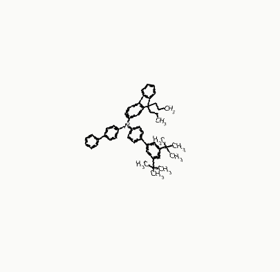 CCCC1(CCC)c2ccccc2-c2ccc(N(c3ccc(-c4ccccc4)cc3)c3ccc(-c4cc(C(C)(C)C)cc(C(C)(C)C)c4)cc3)cc21